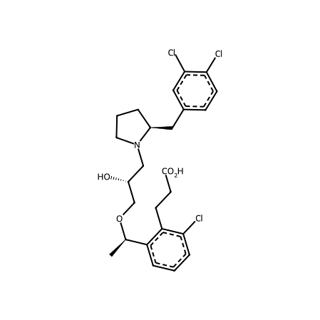 C[C@@H](OC[C@H](O)CN1CCC[C@H]1Cc1ccc(Cl)c(Cl)c1)c1cccc(Cl)c1CCC(=O)O